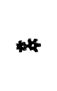 Cc1cc(B2OC(C)(C)C(C)(C)O2)c(C)n(C)c1=O